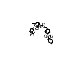 Cc1ccc(C(=O)NCc2ccc(S(=O)(=O)N3CCCCC3)cc2)c(=O)n1-c1cccc(C(F)(F)F)c1